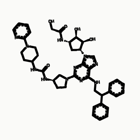 O=C(CO)N[C@H]1C[C@@H](n2cnc3c(NCC(c4ccccc4)c4ccccc4)nc(N4CC[C@@H](NC(=O)NC5CCN(c6ccccn6)CC5)C4)nc32)[C@H](O)[C@@H]1O